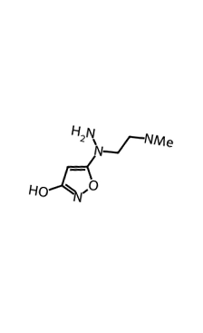 CNCCN(N)c1cc(O)no1